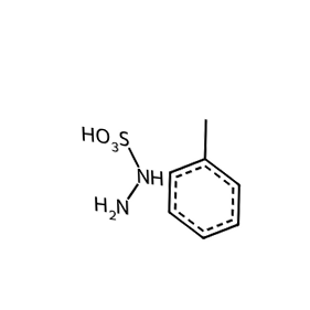 Cc1ccccc1.NNS(=O)(=O)O